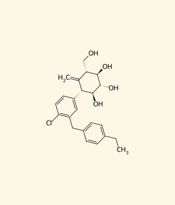 C=C1[C@H](CO)[C@@H](O)[C@H](O)[C@@H](O)[C@@H]1c1ccc(Cl)c(Cc2ccc(CC)cc2)c1